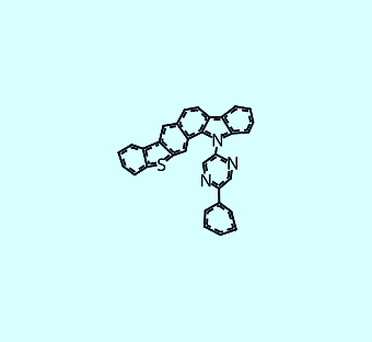 c1ccc(-c2cnc(-n3c4ccccc4c4ccc5cc6c(cc5c43)sc3ccccc36)cn2)cc1